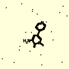 C=C1C(N)=CC(c2ccncc2)=CN1C